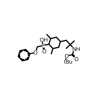 CC1CC(CC(C)(C)NC(=O)OC(C)(C)C)CC(C)C1P(=O)(O)COc1ccccc1